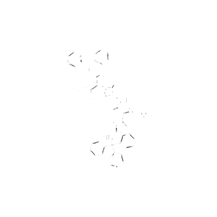 CON=C(C(=O)NC1C(=O)N2C(C(=O)OC(c3ccccc3)c3ccccc3)=C(SCCl)SCC12)c1csc(NC(c2ccccc2)(c2ccccc2)c2ccccc2)n1